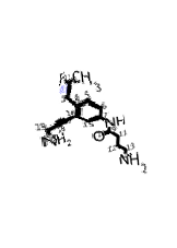 C/C(F)=C\c1ccc(NC(=O)CCCN)cc1C#CCN